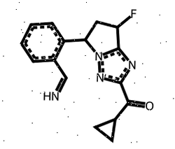 N=Cc1ccccc1C1CC(F)c2nc(C(=O)C3CC3)nn21